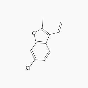 C=Cc1c(C)oc2cc(Cl)ccc12